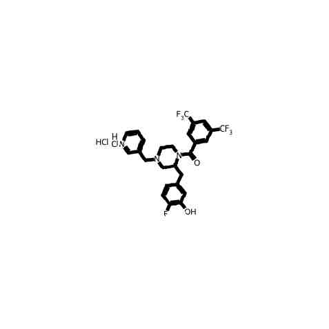 Cl.Cl.O=C(c1cc(C(F)(F)F)cc(C(F)(F)F)c1)N1CCN(Cc2cccnc2)CC1Cc1ccc(F)c(O)c1